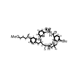 COCCCN(C)c1ccc(CC2C[C@H](C)[C@@H]3CN(c4nc(C(C)(C)C)ccc4C(=O)NS(=O)(=O)c4cccc(n4)N2)C(C)(C)C3)nc1